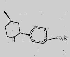 CCOC(=O)c1ccc([C@@H]2C[C@H](C)CCN2)cc1